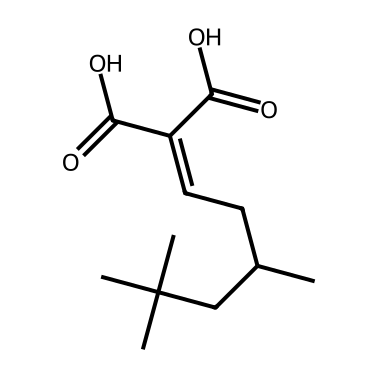 CC(CC=C(C(=O)O)C(=O)O)CC(C)(C)C